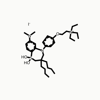 CCCCC1(CCCC)CN(c2ccc(OCC[N+](CC)(CC)CC)cc2)c2cc(N(C)C)ccc2S(O)(O)C1.[I-]